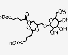 CCCCCCCCCCCCCC(=O)OCC(COC1OC(CO)C(O)C(O)C1O)OC(=O)CCCCCCCCCCCCC